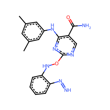 Cc1cc(C)cc(Nc2nc(ONc3ccccc3N=N)ncc2C(N)=O)c1